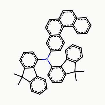 CC1(C)c2ccccc2-c2c(N(c3ccc4c(ccc5ccc6ccccc6c54)c3)c3cccc4c3-c3ccccc3C4(C)C)cccc21